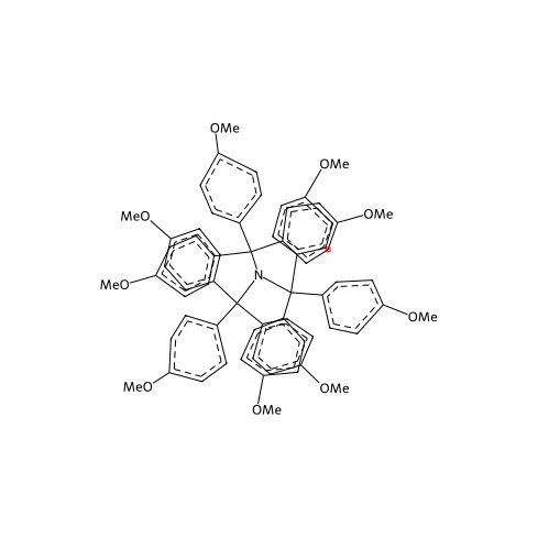 COc1ccc(C(c2ccc(OC)cc2)(c2ccc(OC)cc2)N(C(c2ccc(OC)cc2)(c2ccc(OC)cc2)c2ccc(OC)cc2)C(c2ccc(OC)cc2)(c2ccc(OC)cc2)c2ccc(OC)cc2)cc1